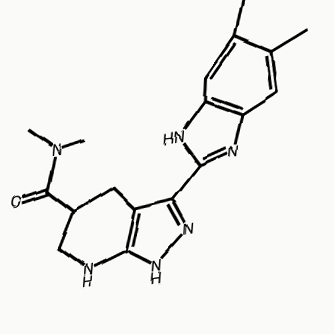 Cc1cc2nc(-c3n[nH]c4c3CC(C(=O)N(C)C)CN4)[nH]c2cc1C